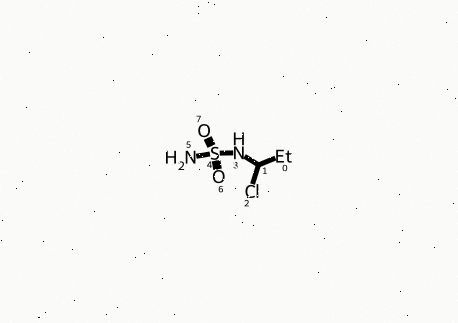 CCC(Cl)NS(N)(=O)=O